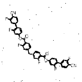 N#Cc1ccc(-c2ccc(OC(=O)c3ccc(Cc4ccc(C(=O)Oc5ccc(-c6ccc(C#N)c(F)c6)c(F)c5)c(F)c4)cc3F)cc2F)cc1F